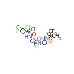 C[C@@H](OC(F)(F)F)C(=O)Nc1c(F)ccc(NC(=O)c2cc(NC(=O)[C@H]3[C@H](C4=CC(Cl)=C(F)CC4)C3(Cl)Cl)ccc2Cl)c1F